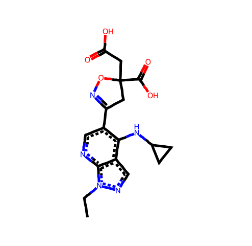 CCn1ncc2c(NC3CC3)c(C3=NOC(CC(=O)O)(C(=O)O)C3)cnc21